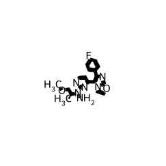 COC[C@H](C)N(N)c1nccc(-c2c(-c3ccc(F)cc3)nc3occn23)n1